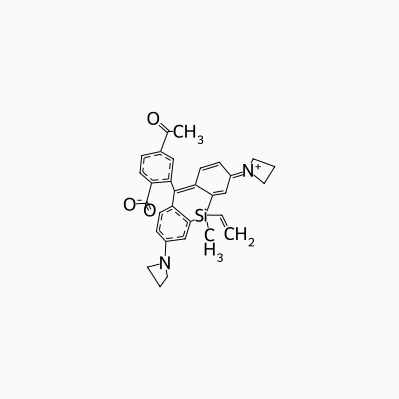 C=C[Si]1(C)C2=CC(=[N+]3CCC3)C=CC2=C(c2cc(C(C)=O)ccc2C(=O)[O-])c2ccc(N3CCC3)cc21